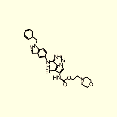 CCc1c(NC(=O)OCCN2CCOCC2)cn2ncnc(Nc3ccc4c(cnn4Cc4ccccc4)c3)c12